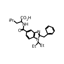 CCC(CC)n1c(Cc2ccccc2)nc2cc(C(=O)NC(CC(C)C)C(=O)O)ccc21